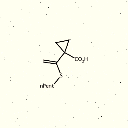 C=C(SCCCCC)C1(C(=O)O)CC1